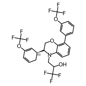 OC(CN1c2cccc(-c3cccc(OC(F)(F)F)c3)c2OCC1[C@@H]1C=C(OC(F)(F)F)C=CC1)C(F)(F)F